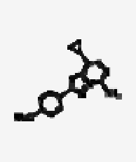 COc1ccc(-c2cc3c(C4CC4)cnc(N)n3n2)cc1